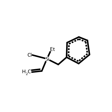 C=C[Si](Cl)(CC)Cc1ccccc1